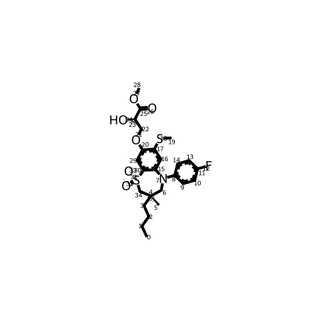 CCCC[C@@]1(C)CN(c2ccc(F)cc2)c2cc(SC)c(OC[C@@H](O)C(=O)OC)cc2S(=O)(=O)C1